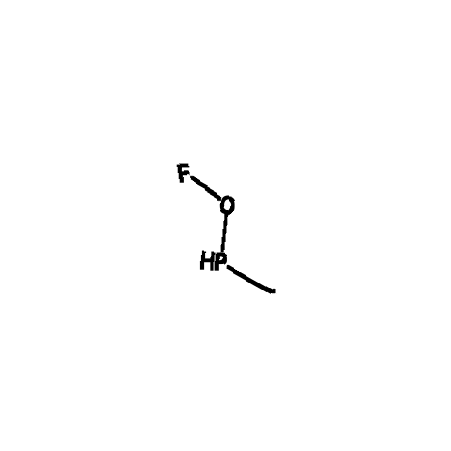 CPOF